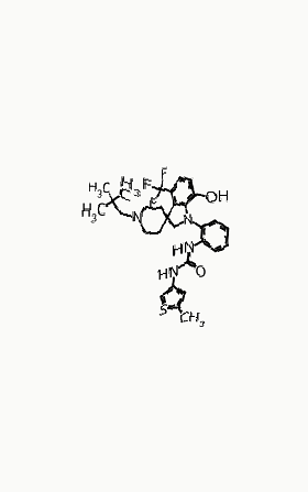 Cc1cc(NC(=O)Nc2ccccc2N2CC3(CCN(CC(C)(C)C)CC3)c3c(C(F)(F)F)ccc(O)c32)cs1